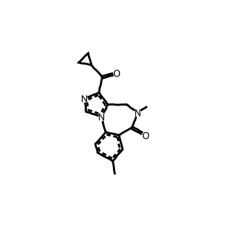 Cc1ccc2c(c1)C(=O)N(C)Cc1c(C(=O)C3CC3)ncn1-2